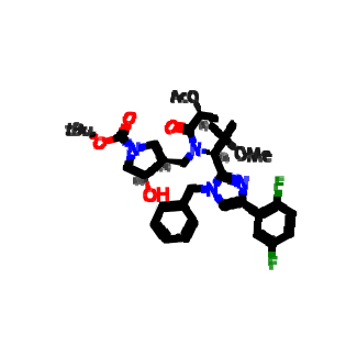 COC(C)(C)[C@H](c1nc(-c2cc(F)ccc2F)cn1Cc1ccccc1)N(C[C@@H]1CN(C(=O)OC(C)(C)C)C[C@H]1O)C(=O)[C@H](C)OC(C)=O